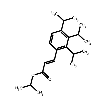 CC(C)OC(=O)C=Cc1ccc(C(C)C)c(C(C)C)c1C(C)C